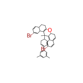 Cc1cc(C)cc(C2=CCC(C3(C)C4=C(CCC5C=CC(Br)=CC45)OC4CC=c5ccc(Br)cc5=C43)C=C2)c1